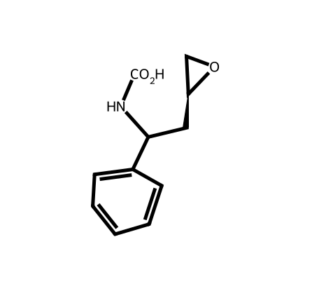 O=C(O)NC(C[C@H]1CO1)c1ccccc1